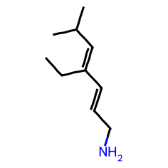 CCC(/C=C/CN)=C\C(C)C